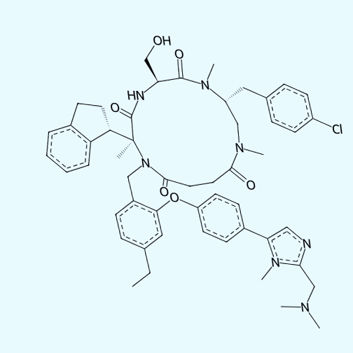 CCc1ccc(CN2C(=O)CCC(=O)N(C)C[C@@H](Cc3ccc(Cl)cc3)N(C)C(=O)[C@H](CO)NC(=O)[C@]2(C)[C@H]2CCc3ccccc32)c(Oc2ccc(-c3cnc(CN(C)C)n3C)cc2)c1